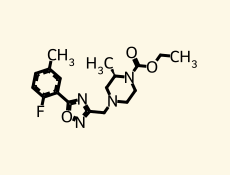 CCOC(=O)N1CCN(Cc2noc(-c3cc(C)ccc3F)n2)C[C@H]1C